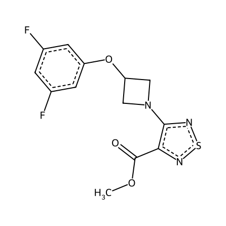 COC(=O)c1nsnc1N1CC(Oc2cc(F)cc(F)c2)C1